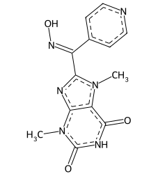 Cn1c(C(=NO)c2ccncc2)nc2c1c(=O)[nH]c(=O)n2C